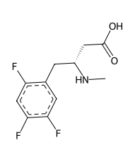 CN[C@@H](CC(=O)O)Cc1cc(F)c(F)cc1F